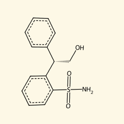 NS(=O)(=O)c1ccccc1[C@@H](CO)c1ccccc1